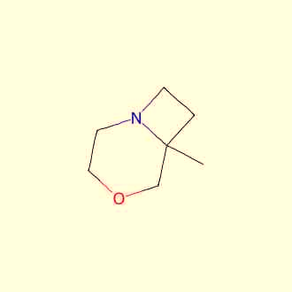 CC12CCN1CCOC2